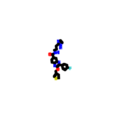 O=C(NCCCc1ncc[nH]1)c1ccc2nc(OCc3ccsc3)c(-c3ccc(F)cc3)nc2c1